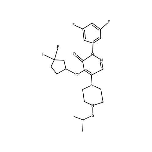 CC(C)SN1CCN(c2cnn(-c3cc(F)cc(F)c3)c(=O)c2OC2CCC(F)(F)C2)CC1